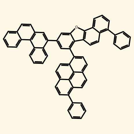 c1ccc(-c2cccc3c2ccc2c3oc3cc(-c4cc5ccc6ccccc6c5c5ccccc45)cc(-c4ccc5ccc6c(-c7ccccc7)ccc7ccc4c5c76)c32)cc1